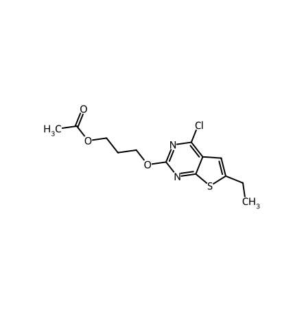 CCc1cc2c(Cl)nc(OCCCOC(C)=O)nc2s1